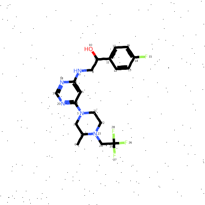 CC1CN(c2cc(NCC(O)c3ccc(F)cc3)ncn2)CCN1CC(F)(F)F